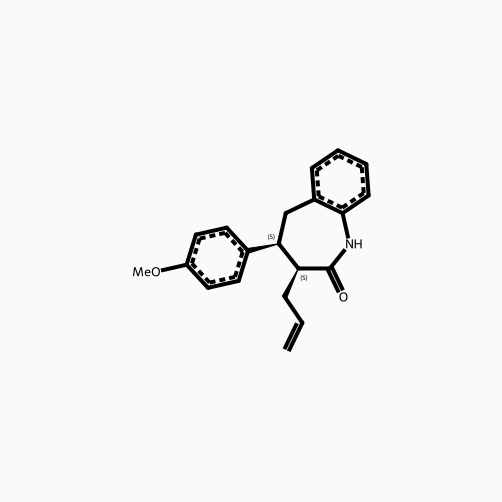 C=CC[C@@H]1C(=O)Nc2ccccc2C[C@@H]1c1ccc(OC)cc1